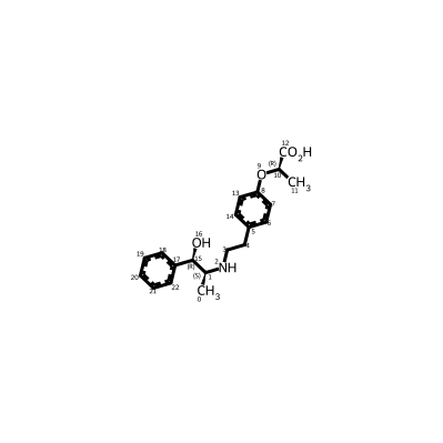 C[C@H](NCCc1ccc(O[C@H](C)C(=O)O)cc1)[C@H](O)c1ccccc1